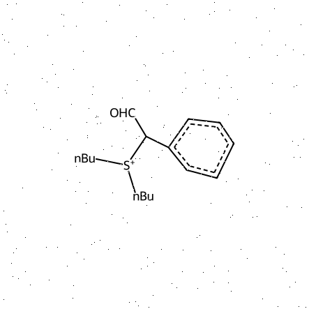 CCCC[S+](CCCC)C(C=O)c1ccccc1